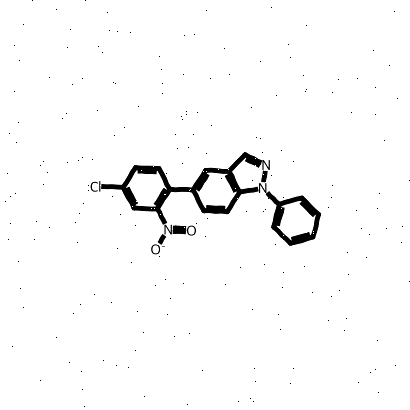 O=[N+]([O-])c1cc(Cl)ccc1-c1ccc2c(cnn2-c2ccccc2)c1